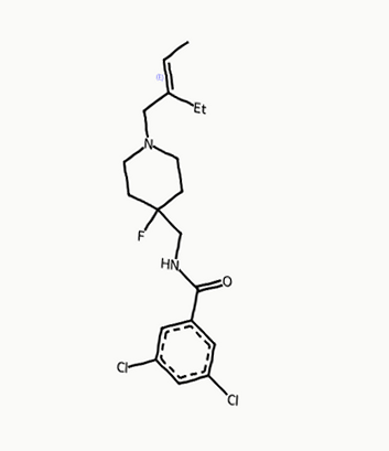 C/C=C(\CC)CN1CCC(F)(CNC(=O)c2cc(Cl)cc(Cl)c2)CC1